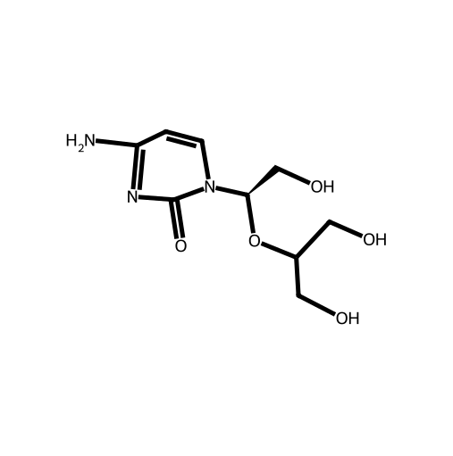 Nc1ccn([C@@H](CO)OC(CO)CO)c(=O)n1